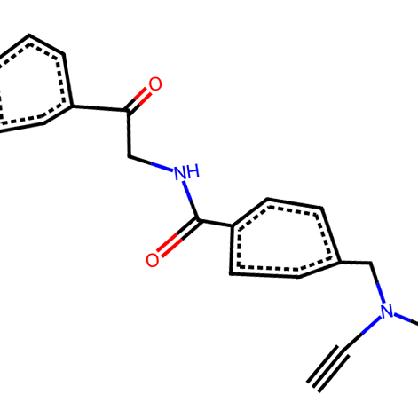 C#CN(C)Cc1ccc(C(=O)NCC(=O)c2ccccc2)cc1